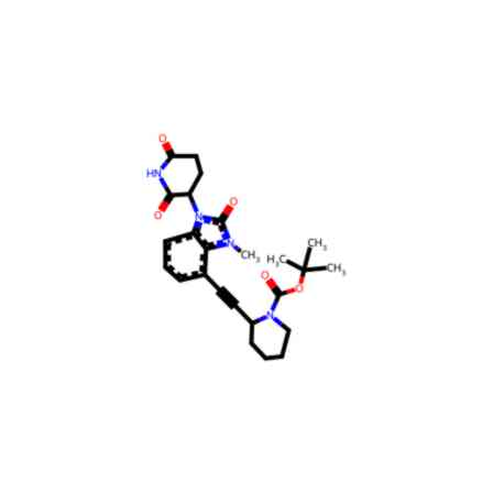 Cn1c(=O)n(C2CCC(=O)NC2=O)c2cccc(C#CC3CCCCN3C(=O)OC(C)(C)C)c21